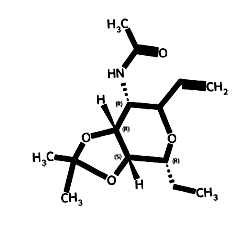 C=CC1O[C@H](CC)[C@@H]2OC(C)(C)O[C@@H]2[C@@H]1NC(C)=O